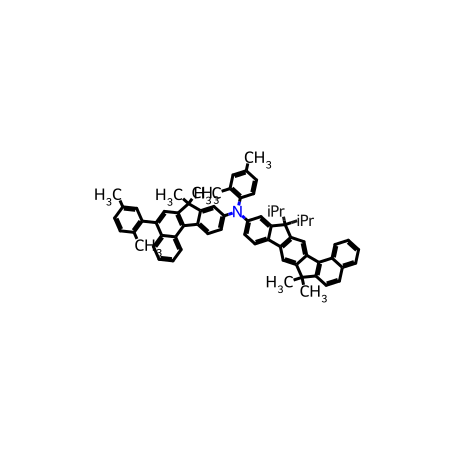 Cc1ccc(N(c2ccc3c(c2)C(C)(C)c2cc(-c4cc(C)ccc4C)c4ccccc4c2-3)c2ccc3c(c2)C(C(C)C)(C(C)C)c2cc4c(cc2-3)C(C)(C)c2ccc3ccccc3c2-4)c(C)c1